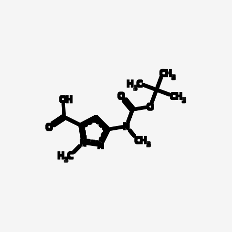 CN(C(=O)OC(C)(C)C)c1cc(C(=O)O)n(C)n1